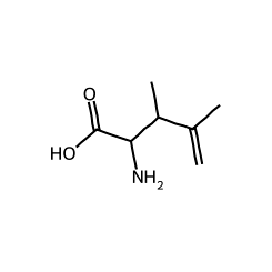 C=C(C)C(C)C(N)C(=O)O